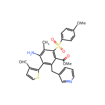 COC(=O)c1c(Cc2cccnc2)c(-c2sccc2C=O)c(N)c(C)c1S(=O)(=O)c1ccc(OC)cc1